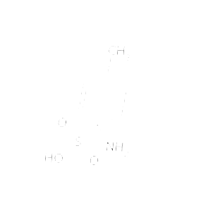 CC1=CCC(N)(S(=O)(=O)O)C=C1